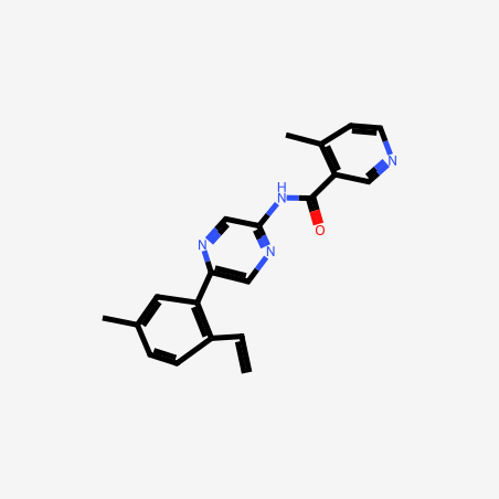 C=Cc1ccc(C)cc1-c1cnc(NC(=O)c2cnccc2C)cn1